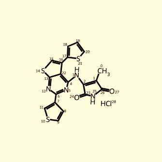 CC1=C(Nc2nc(-c3ccsc3)nc3scc(-c4cccs4)c23)C(=O)NC1=O.Cl